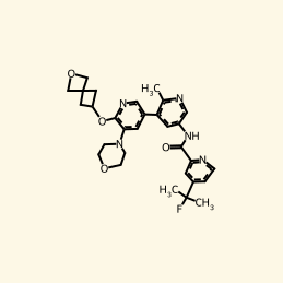 Cc1ncc(NC(=O)c2cc(C(C)(C)F)ccn2)cc1-c1cnc(OC2CC3(COC3)C2)c(N2CCOCC2)c1